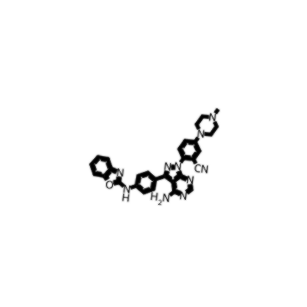 CN1CCN(c2ccc(-n3nc(-c4ccc(Nc5nc6ccccc6o5)cc4)c4c(N)ncnc43)c(C#N)c2)CC1